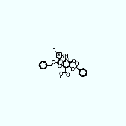 COC(=O)c1nc([C@]2(C(=O)OCc3ccccc3)C[C@H](F)CN2)n(C)c(=O)c1OC(=O)c1ccccc1